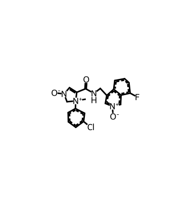 C[N+]1(c2cccc(Cl)c2)CN([O-])C=C1C(=O)NCc1c[n+]([O-])cc2c(F)cccc12